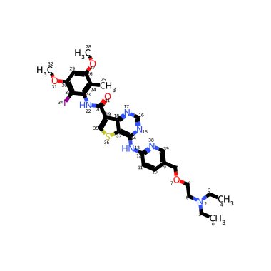 CCN(CC)CCOCc1ccc(Nc2ncnc3c(C(=O)Nc4c(C)c(OC)cc(OC)c4I)csc23)nc1